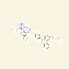 CCc1ccc(C(Cc2ccccc2)c2ccc(CCC3=NCc4nnc(C)n4-c4sc5c(c43)CCC5)cc2)cc1